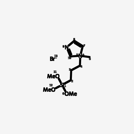 CO[Si](CCC[N+]1(C)C=CN=C1)(OC)OC.[Br-]